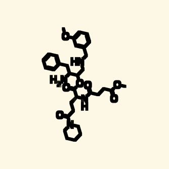 COC(=O)CCC(=O)N[C@@H](CCC(=O)N1CCCCC1)C(=O)OC(CNCc1cccc(OC)c1)C(N)Cc1ccccc1